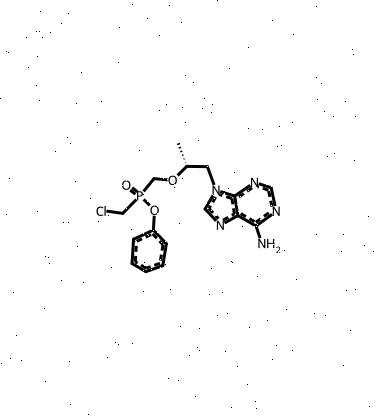 C[C@H](Cn1cnc2c(N)ncnc21)OCP(=O)(CCl)Oc1ccccc1